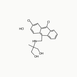 CC(CO)(CO)NCc1c2ccccc2c(Cl)c2cc(Cl)ccc12.Cl